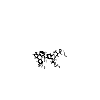 C=CC(=O)Nc1cc(Nc2cc(N3OCCC3c3cccc(OC)c3)ncn2)c(OC)cc1N1CCC(N(C)C)CC1